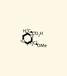 C1COCCO1.CC(=O)O.COC